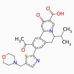 CC(=O)c1cc2c(cc1-c1ncc(CN3CCOCC3)s1)CC(C(C)C)n1cc(C(=O)O)c(=O)cc1-2